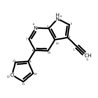 C#Cc1c[nH]c2ncc(-c3ccoc3)cc12